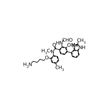 COc1c(-c2cccc3[nH]c(C)nc23)ccc(C(=O)N(C)c2ccc(C)cc2OCCCCN)c1NC=O